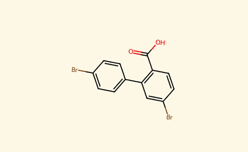 O=C(O)c1ccc(Br)cc1-c1ccc(Br)cc1